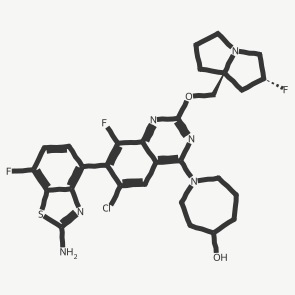 Nc1nc2c(-c3c(Cl)cc4c(N5CCCC(O)CC5)nc(OC[C@@]56CCCN5C[C@H](F)C6)nc4c3F)ccc(F)c2s1